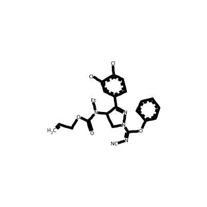 C=CCOC(=O)N(CC)C1CN(/C(=N\C#N)Oc2ccccc2)N=C1c1ccc(Cl)c(Cl)c1